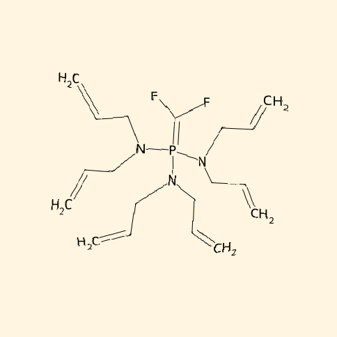 C=CCN(CC=C)P(=C(F)F)(N(CC=C)CC=C)N(CC=C)CC=C